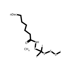 C.CCCCCCCCCCCCCCCC(=O)NSC(I)(I)SSSI